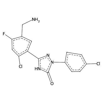 NCc1cc(-c2nn(-c3ccc(Cl)cc3)c(=O)[nH]2)c(Cl)cc1F